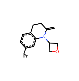 C=C1CCc2ccc(C(C)C)cc2N1C1COC1